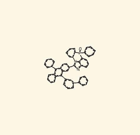 O=P1(c2ccccc2)c2ccccc2-n2c(-c3ccc4c(-c5ccccc5)c5ccccc5c(-c5cccc(-c6ccccc6)c5)c4c3)nc3cccc1c32